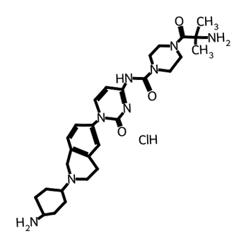 CC(C)(N)C(=O)N1CCN(C(=O)Nc2ccn(-c3ccc4c(c3)CCN(C3CCC(N)CC3)C4)c(=O)n2)CC1.Cl